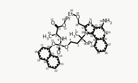 CCC[C@](C)(CCOP(=O)(N[C@@H](C)C(=O)OC(C)C)Oc1cccc2ccccc12)n1c(COCC)nc2c(N)nc3ccccc3c21